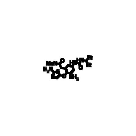 CCC(CC)NC(=O)Nc1ccc(Oc2cnc(N)s2)c(CC(=O)NC)c1.N